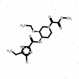 CCO[C@H]1CN(C(=O)C(=O)OC)CC[C@H]1NC(=O)c1nc(Cl)c(CC)[nH]1